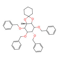 c1ccc(COC2C(OCc3ccccc3)[C@@H]3OC4(CCCCC4)OC3C(OCc3ccccc3)[C@@H]2OCc2ccccc2)cc1